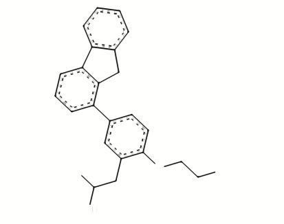 CC(C)Cc1cc(-c2cccc3c2Cc2ccccc2-3)ccc1OCCO